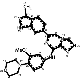 COc1cc(Nc2nc(-c3ccc4c(C)n[nH]c4c3)cn3cnnc23)ccc1N1CCOCC1